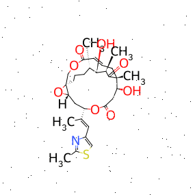 C/C(=C\c1csc(C)n1)[C@@H]1C[C@@H]2O[C@]23CCC[C@H](C)[C@H](O)[C@@H](C)C(=O)[C@](C)(C/C=C/C(=O)OC3)[C@@H](O)CC(=O)O1